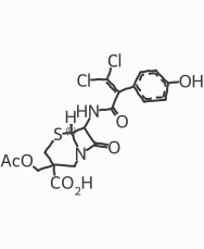 CC(=O)OCC1(C(=O)O)CS[C@@H]2C(NC(=O)C(=C(Cl)Cl)c3ccc(O)cc3)C(=O)N2C1